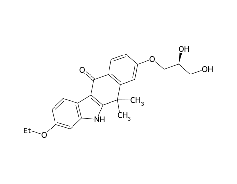 CCOc1ccc2c3c([nH]c2c1)C(C)(C)c1cc(OC[C@@H](O)CO)ccc1C3=O